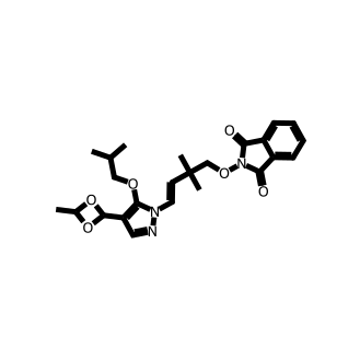 CC(C)COc1c(C2OC(C)O2)cnn1/C=C/C(C)(C)CON1C(=O)c2ccccc2C1=O